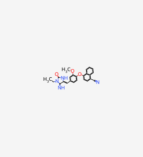 CCN1C(=N)C(=Cc2ccc(Oc3ccc(C#N)c4ccccc34)c(OC)c2)NC1=O